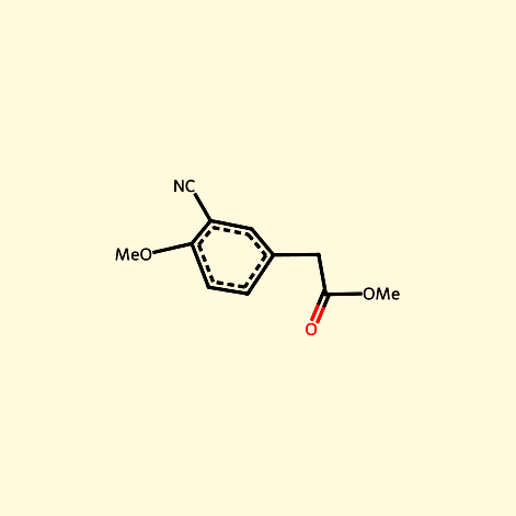 COC(=O)Cc1ccc(OC)c(C#N)c1